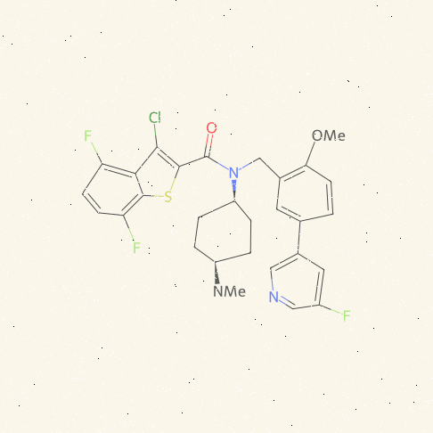 CN[C@H]1CC[C@@H](N(Cc2cc(-c3cncc(F)c3)ccc2OC)C(=O)c2sc3c(F)ccc(F)c3c2Cl)CC1